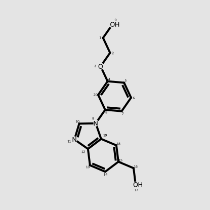 OCCOc1cccc(-n2cnc3ccc(CO)cc32)c1